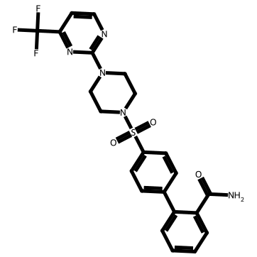 NC(=O)c1ccccc1-c1ccc(S(=O)(=O)N2CCN(c3nccc(C(F)(F)F)n3)CC2)cc1